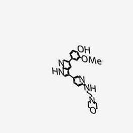 COc1cc(-c2cnc3[nH]cc(-c4ccc(NCCN5CCOCC5)nc4)c3c2)ccc1O